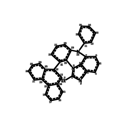 CCc1nc2cccc3c2n1-c1c(-c2cc4ccccc4c4ccccc24)cccc1N3c1ccccc1